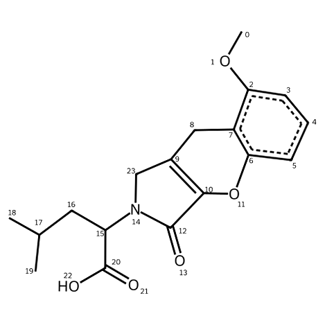 COc1cccc2c1CC1=C(O2)C(=O)N(C(CC(C)C)C(=O)O)C1